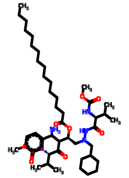 CCCCCCCCCCCCCCCC(=O)O[C@@H](CN(CC1CCCCC1)NC(=O)[C@@H](NC(=O)OC)C(C)C)C(C(=O)[C@@H](NC(=O)OC)C(C)C)C(N)c1ccccc1